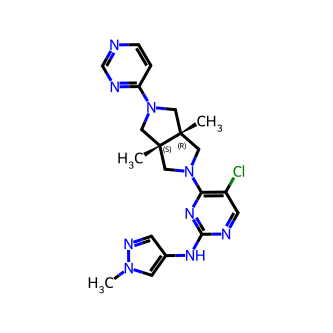 Cn1cc(Nc2ncc(Cl)c(N3C[C@]4(C)CN(c5ccncn5)C[C@]4(C)C3)n2)cn1